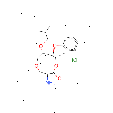 CC(C)CO[C@H]1COC[C@H](N)C(=O)O[C@@H](C)[C@@H]1Oc1ccccc1.Cl